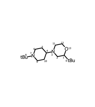 CC(C)(C)C1CN(C2CCN(C(C)(C)C)CC2)CCO1